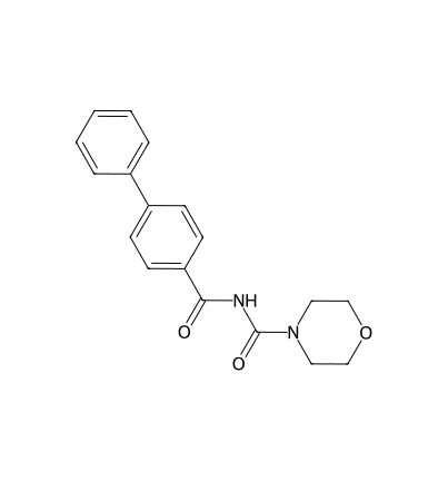 O=C(NC(=O)N1CCOCC1)c1ccc(-c2ccccc2)cc1